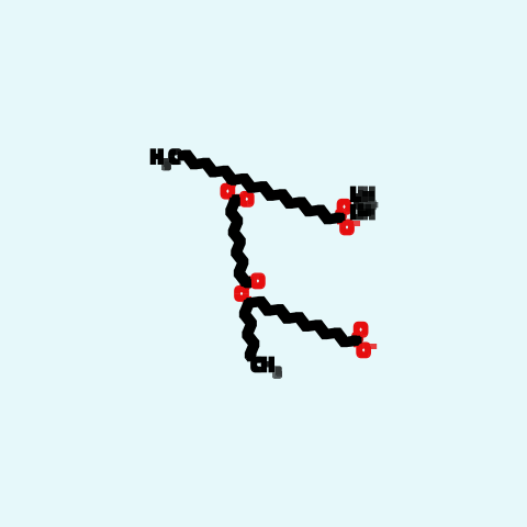 CCCCCCC(CCCCCCCCCCC(=O)[O-])OC(=O)CCCCCCCC(=O)OC(CCCCCC)CCCCCCCCCCC(=O)[O-].[Li+].[Li+].[LiH].[LiH]